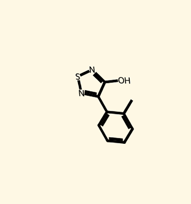 Cc1ccccc1-c1nsnc1O